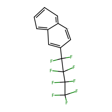 FC(F)(F)C(F)(F)C(F)(F)C(F)(F)c1c[c]c2ccccc2c1